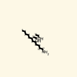 CCCCCCCCCCCCN.CCO.CCO